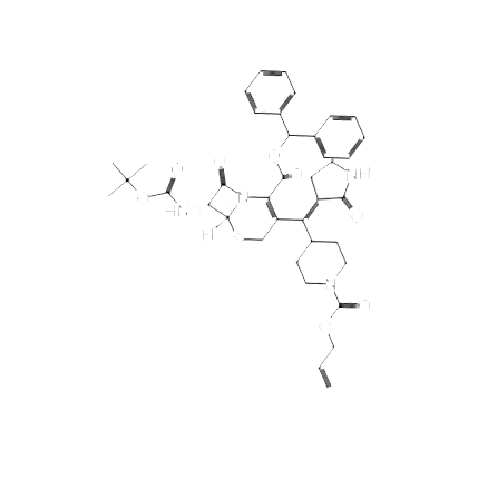 C=CCOC(=O)N1CCC(C(=C2CCNC2=O)C2=C(C(=O)OC(c3ccccc3)c3ccccc3)N3C(=O)[C@@H](NC(=O)OC(C)(C)C)[C@H]3SC2)CC1